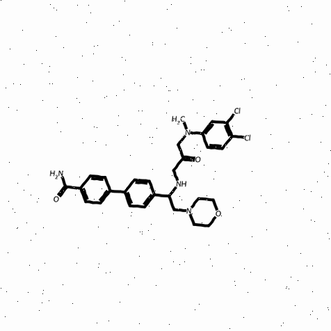 CN(CC(=O)CNC(CN1CCOCC1)c1ccc(-c2ccc(C(N)=O)cc2)cc1)c1ccc(Cl)c(Cl)c1